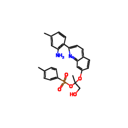 Cc1ccc(S(=O)(=O)OC(C)(CO)Oc2ccc3ccc(-c4ccc(C)cc4N)nc3c2)cc1